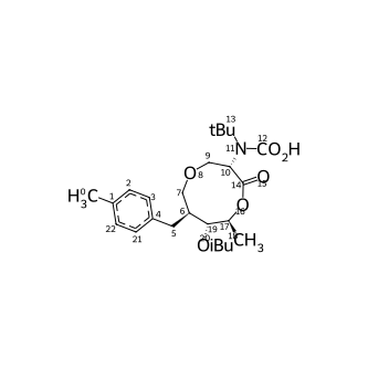 Cc1ccc(C[C@H]2COC[C@H](N(C(=O)O)C(C)(C)C)C(=O)O[C@@H](C)[C@@H]2OCC(C)C)cc1